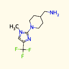 Cn1cc(C(F)(F)F)nc1N1CCC(CN)CC1